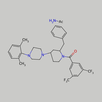 CC(N)=O.Cc1cccc(C)c1N1CCN(C2CCN(C(=O)c3cc(C(F)(F)F)cc(C(F)(F)F)c3)C(Cc3ccccc3)C2)CC1